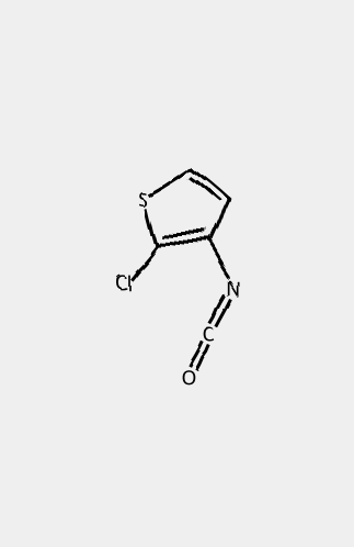 O=C=Nc1ccsc1Cl